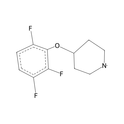 Fc1ccc(F)c(OC2CC[N]CC2)c1F